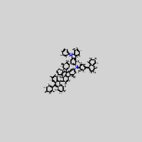 C1=CCCC(C2(c3ccccc3)c3cc(-c4c5ccccc5c(-c5ccccc5)c5ccccc45)ccc3-c3ccc(N(c4ccc(-c5cccc6ccccc56)cc4)c4ccc5c(c4)c4ccccc4n5-c4ccccc4)cc32)=C1